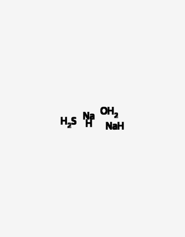 O.S.[NaH].[NaH]